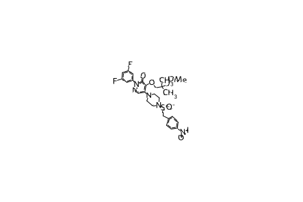 COCC(C)(C)COc1c(N2CCN([S+]([O-])Cc3ccc([N+](=O)I)cc3)CC2)cnn(-c2cc(F)cc(F)c2)c1=O